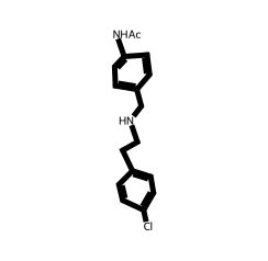 CC(=O)Nc1ccc(CNCCc2ccc(Cl)cc2)cc1